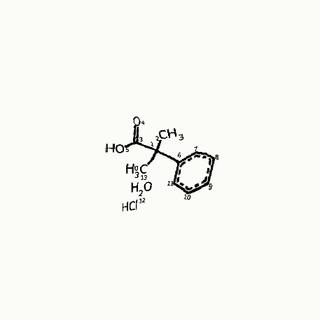 CC(C)(C(=O)O)c1ccccc1.Cl.O